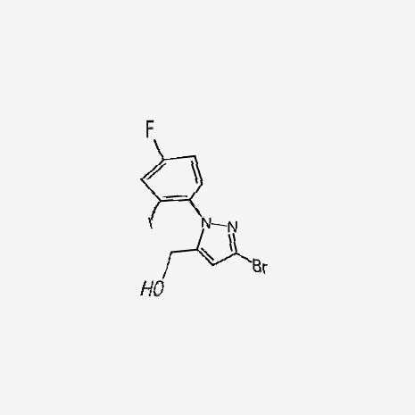 OCc1cc(Br)nn1-c1ccc(F)cc1I